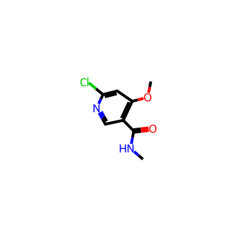 CNC(=O)c1cnc(Cl)cc1OC